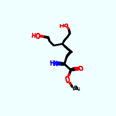 CC(C)(C)OC(=O)C(=N)CC(CO)CCO